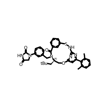 Cc1cccc(C)c1-c1cc2nc(n1)NSc1cccc(c1)C(=O)N(Cc1cccc(N3CC(=O)NC3=O)c1)[C@H](CC(C)(C)C)CO2